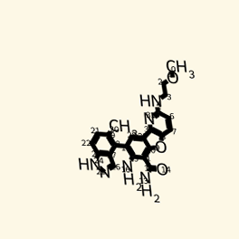 COCCNc1ccc2oc3c(C(N)=O)c(N)c(-c4c(C)ccc5[nH]ncc45)cc3c2n1